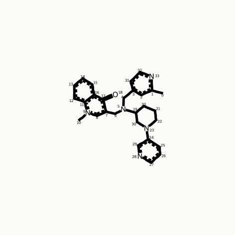 Cc1cc(CN(Cc2cn(C)c3ccccc3c2=O)C2CCCN(c3cccnc3)C2)ccn1